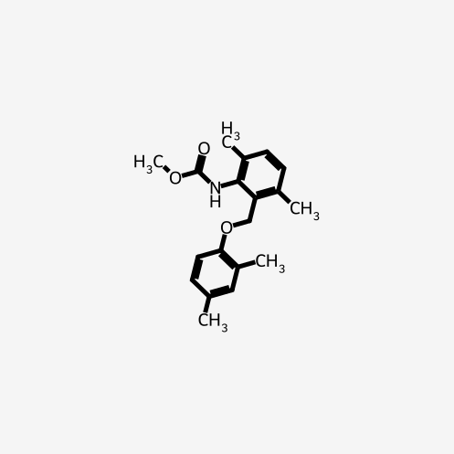 COC(=O)Nc1c(C)ccc(C)c1COc1ccc(C)cc1C